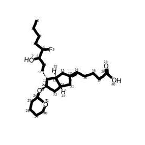 CCCCC(F)C(O)CC[C@@H]1[C@H]2CC(=CCCCC(=O)O)C[C@H]2C[C@H]1OC1CCCCO1